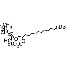 CCCCCCCCCCCCCCCCCCCCC(COP(O)OCC[N+](C)(C)C)OC(=O)OCC